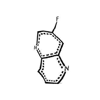 Fc1cnc2cc[c]nc2c1